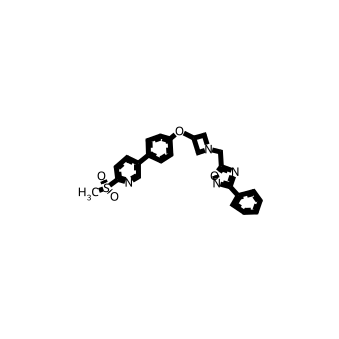 CS(=O)(=O)c1ccc(-c2ccc(OC3CN(Cc4nc(-c5ccccc5)no4)C3)cc2)cn1